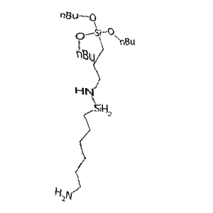 CCCCO[Si](CCCN[SiH2]CCCCCCN)(OCCCC)OCCCC